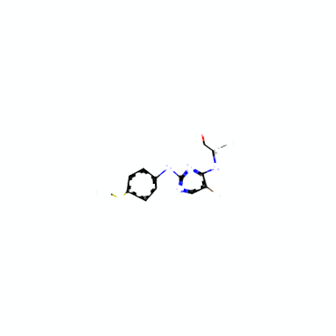 CSc1ccc(Nc2ncc(Br)c(N[C@H](C)CO)n2)cc1